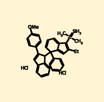 CCC1=[C]([Zr]([CH3])([CH3])=[SiH2])C2=CC=CC(c3ccccc3)(C3C(c4ccc(OC)cc4)=Cc4ccccc43)C2=C1.Cl.Cl